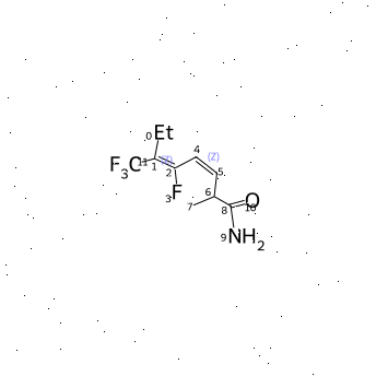 CC/C(=C(F)\C=C/C(C)C(N)=O)C(F)(F)F